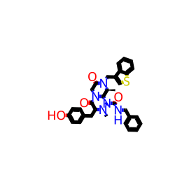 C[C@H]1C2N(CC(=O)N1Cc1csc3ccccc13)C(=O)C(Cc1ccc(O)cc1)N(C)N2C(=O)NCc1ccccc1